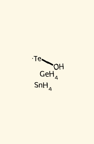 O[Te].[GeH4].[SnH4]